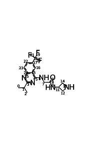 CC(C)c1nc(NCC(=O)NC2CNC2)c2cc(C(F)(F)F)ccc2n1